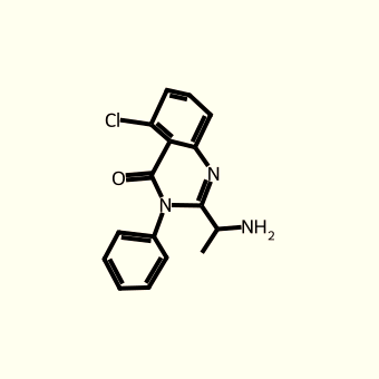 CC(N)c1nc2cccc(Cl)c2c(=O)n1-c1ccccc1